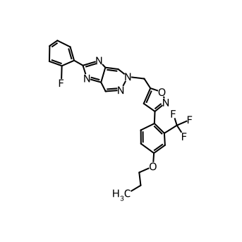 CCCOc1ccc(-c2cc(Cn3cc4nc(-c5ccccc5F)nc-4cn3)on2)c(C(F)(F)F)c1